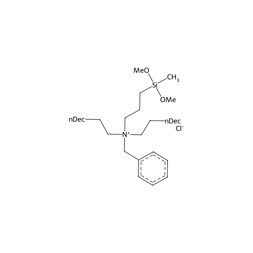 CCCCCCCCCCCC[N+](CCCCCCCCCCCC)(CCC[Si](C)(OC)OC)Cc1ccccc1.[Cl-]